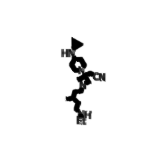 CCNCCC(C)CCN1CC(CC#N)(N2CCC(NC3CC3)CC2)C1